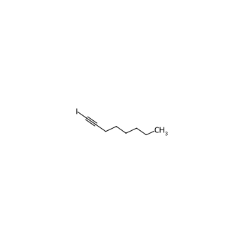 CCCCCCC#CI